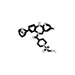 CCS(=O)(=O)N1CCC(C(=O)N2Cc3cc(F)cnc3Nc3ccc(N4CC5CCC4CO5)cc32)CC1